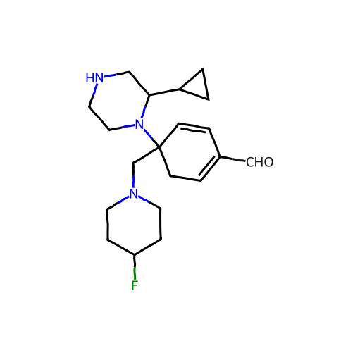 O=CC1=CCC(CN2CCC(F)CC2)(N2CCNCC2C2CC2)C=C1